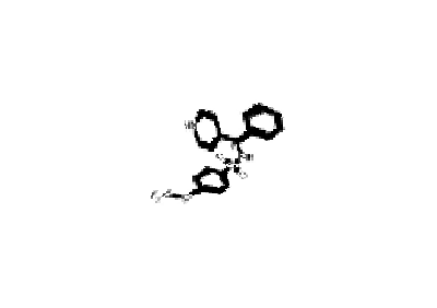 O=S(=O)(N[C@H](c1ccccc1)C1CCNCC1)c1ccc(OC(F)(F)F)cc1